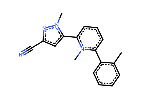 Cc1ccccc1-c1cccc(-c2cc(C#N)nn2C)[n+]1C